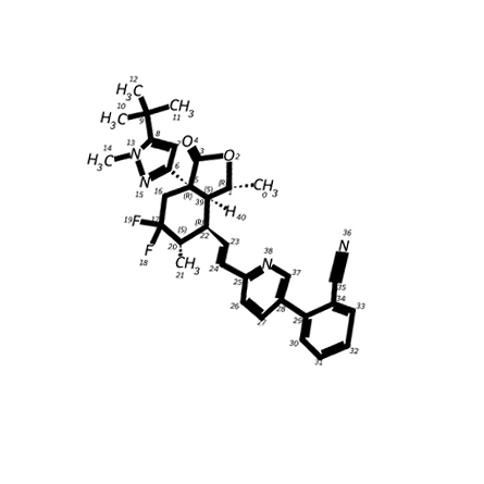 C[C@H]1OC(=O)[C@]2(c3cc(C(C)(C)C)n(C)n3)CC(F)(F)[C@@H](C)[C@H](C=Cc3ccc(-c4ccccc4C#N)cn3)[C@H]12